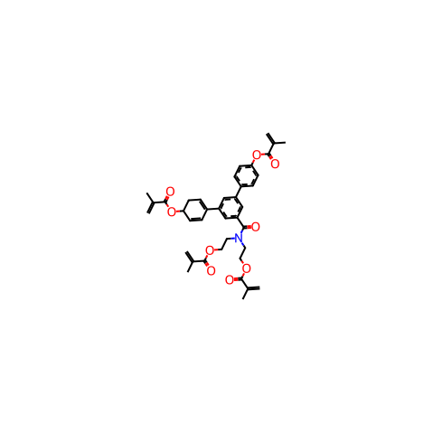 C=C(C)C(=O)OCCN(CCOC(=O)C(=C)C)C(=O)c1cc(C2=CCC(OC(=O)C(=C)C)C=C2)cc(-c2ccc(OC(=O)C(=C)C)cc2)c1